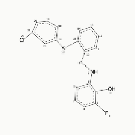 Oc1c(F)cccc1NCc1ccccc1Sc1cccc(Cl)c1